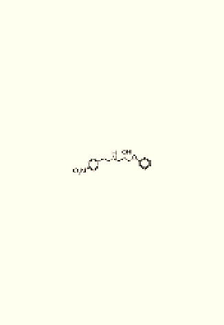 O=[N+]([O-])c1ccc(CCNCC(O)COc2ccccc2)cc1